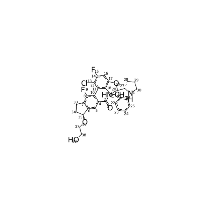 CNC(=O)c1cc2c(c(F)c1-c1c(Cl)c(F)cc3c1C[C@](c1ccccc1)([C@@H]1CCCN1)O3)CC[C@@H]2OCCO